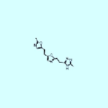 Cc1nnc(CCc2ncc(CCc3cnc(C)o3)o2)[nH]1